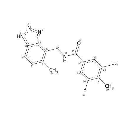 Cc1ccc2[nH]nnc2c1CNC(=O)c1cc(F)c(C)c(F)c1